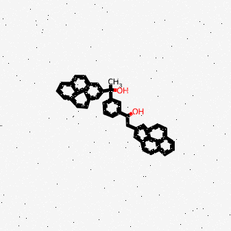 CC(O)(c1cccc(C(O)Cc2cc3ccc4cccc5ccc(c2)c3c45)c1)c1cc2ccc3cccc4ccc(c1)c2c34